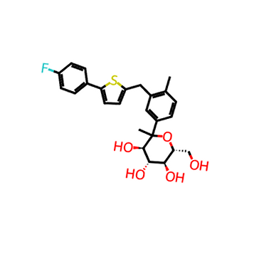 Cc1ccc(C2(C)O[C@H](CO)[C@@H](O)[C@H](O)[C@H]2O)cc1Cc1ccc(-c2ccc(F)cc2)s1